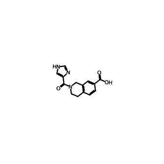 O=C(O)c1ccc2c(c1)CN(C(=O)c1c[nH]cn1)CC2